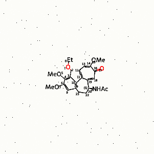 CCOCc1c(OC)c(OC)cc2c1-c1ccc(OC)c(=O)cc1[C@@H](NC(C)=O)CC2